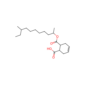 CCC(C)CCCCCCC(C)OC(=O)C1CC=CCC1C(=O)O